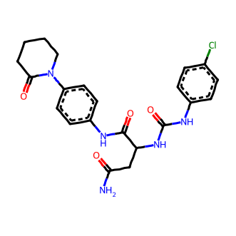 NC(=O)CC(NC(=O)Nc1ccc(Cl)cc1)C(=O)Nc1ccc(N2CCCCC2=O)cc1